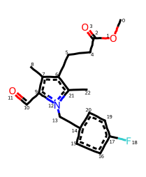 COC(=O)CCc1c(C)c(C=O)n(Cc2ccc(F)cc2)c1C